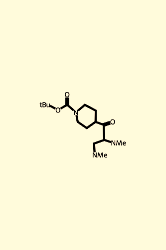 CNCC(NC)C(=O)C1CCN(C(=O)OC(C)(C)C)CC1